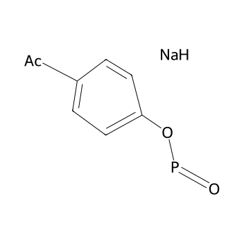 CC(=O)c1ccc(OP=O)cc1.[NaH]